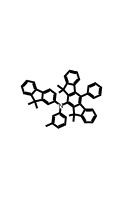 Cc1cccc(N(c2ccc3c(c2)C(C)(C)c2ccccc2-3)c2c3c(c(-c4ccccc4)c4c2C(C)(C)c2ccccc2-4)-c2ccccc2C3(C)C)c1